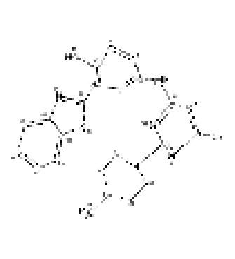 CC1CCN(c2nc(Cl)nc(Nc3ccc(O)c(-c4nc5ccccc5s4)c3)n2)CC1